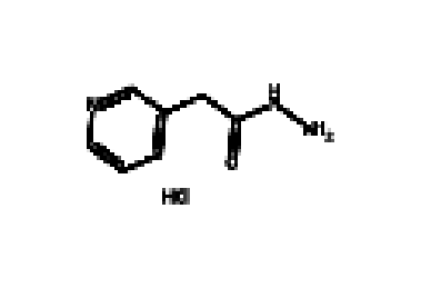 Cl.NNC(=O)Cc1cccnc1